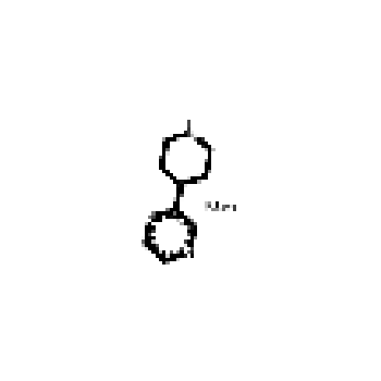 Cl.Cl.c1cnc(C2CCNCC2)cn1